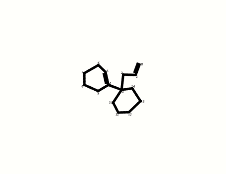 C=CCC1(C2=CCCCC2)CCCCC1